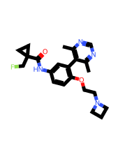 Cc1ncnc(C)c1-c1cc(NC(=O)C2(CF)CC2)ccc1OCCN1CCC1